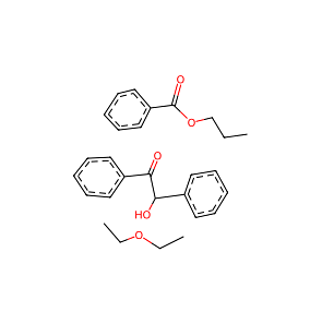 CCCOC(=O)c1ccccc1.CCOCC.O=C(c1ccccc1)C(O)c1ccccc1